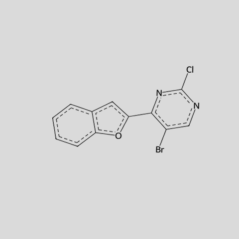 Clc1ncc(Br)c(-c2cc3ccccc3o2)n1